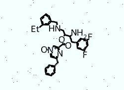 CCc1cccc(CNCC(OC(=O)c2c[n+]([O-])cc(Cc3ccccc3)n2)C(N)Cc2cc(F)cc(F)c2)c1